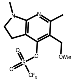 COCc1c(C)nc2c(c1OS(=O)(=O)C(F)(F)F)CCN2C